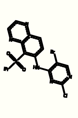 CC(C)S(=O)(=O)c1c(Nc2nc(Cl)ncc2Br)ccc2nccnc12